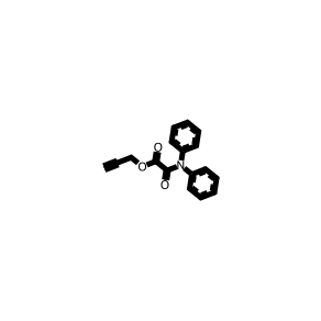 C#CCOC(=O)C(=O)N(c1ccccc1)c1ccccc1